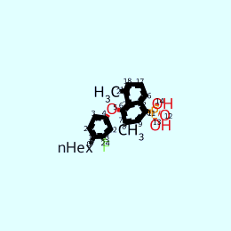 CCCCCCc1ccc(Oc2c(C)cc(P(=O)(O)O)c3cccc(C)c23)cc1F